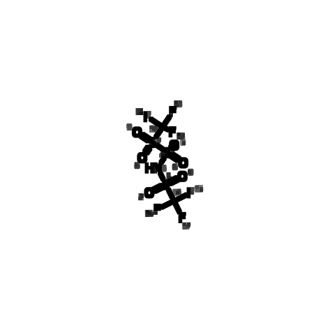 O=S(=O)(NS(=O)(=O)S(=O)(=O)C(F)(F)F)C(F)(F)F